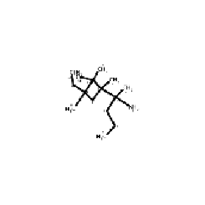 CCCC(C)(N)C1(C)CC(C)(CC)C1(C)C